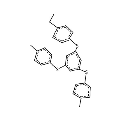 CCc1ccc(Sc2cc(Sc3ccc(C)cc3)cc(Sc3ccc(C)cc3)c2)cc1